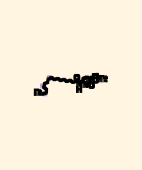 CC/C=C\C/C=C\C/C=C\CCCCCCCC(=O)Nc1ccn(C2CC[C@@H](CC)O2)c(=O)n1